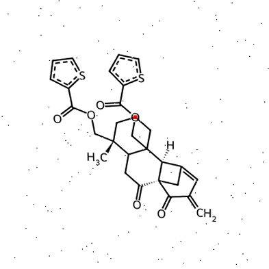 C=C1C=C2C[C@@]3(C(=O)CC4C(COC(=O)c5cccs5)(CCC[C@@]4(C)COC(=O)c4cccs4)[C@@H]23)C1=O